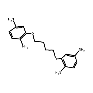 Nc1ccc(N)c(OCCCCOc2cc(N)ccc2N)c1